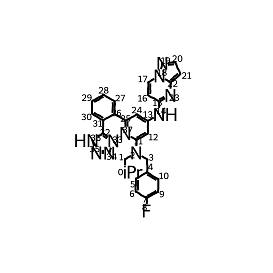 CC(C)CN(Cc1ccc(F)cc1)c1cc(Nc2ccn3nccc3n2)cc(-c2ccccc2-c2nnn[nH]2)n1